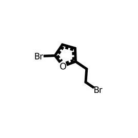 BrCCc1ccc(Br)o1